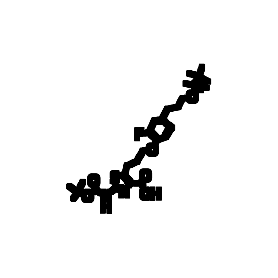 CC(C)(C)OC(=O)Nc1nc(C(=O)O)c(CCCOc2ccc(CCCO[Si](C)(C)C(C)(C)C)cc2F)s1